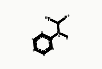 CN(c1ccccc1)C(F)F